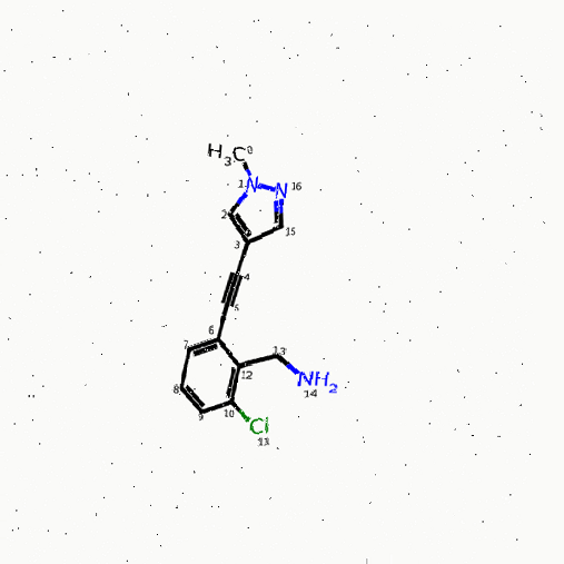 Cn1cc(C#Cc2cccc(Cl)c2CN)cn1